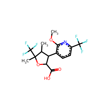 COc1nc(C(F)(F)F)ccc1C1C(C(=O)O)OC(C)(C(F)(F)F)C1C